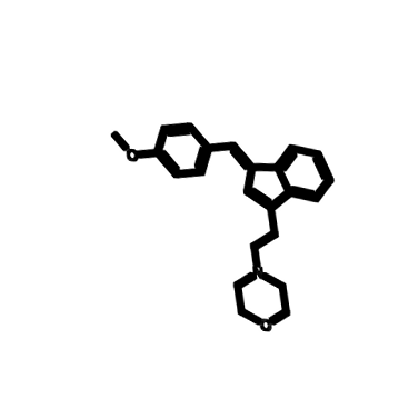 COc1ccc(C=C2C=C(CCN3CCOCC3)c3ccccc32)cc1